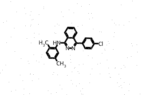 Cc1ccc(C)c(Nc2nnc(-c3ccc(Cl)cc3)c3ccccc23)c1